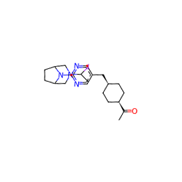 CC(=O)[C@H]1CC[C@@H](Cc2cnc(N3C4CCC3CN(C(C)I)C4)nc2)CC1